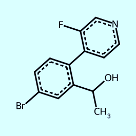 CC(O)c1cc(Br)ccc1-c1ccncc1F